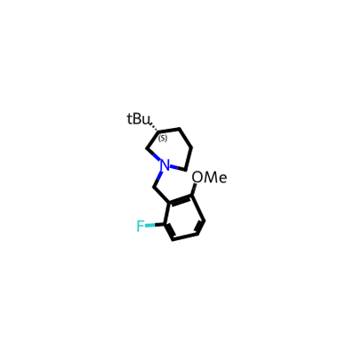 COc1cccc(F)c1CN1CCC[C@@H](C(C)(C)C)C1